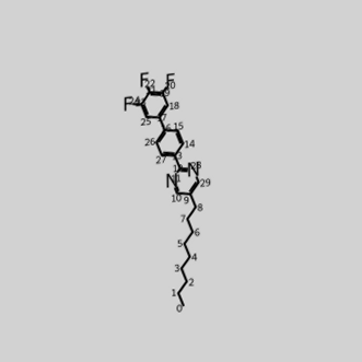 CCCCCCCCCc1cnc(-c2ccc(-c3cc(F)c(F)c(F)c3)cc2)nc1